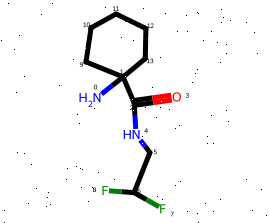 NC1(C(=O)NCC(F)F)CCCCC1